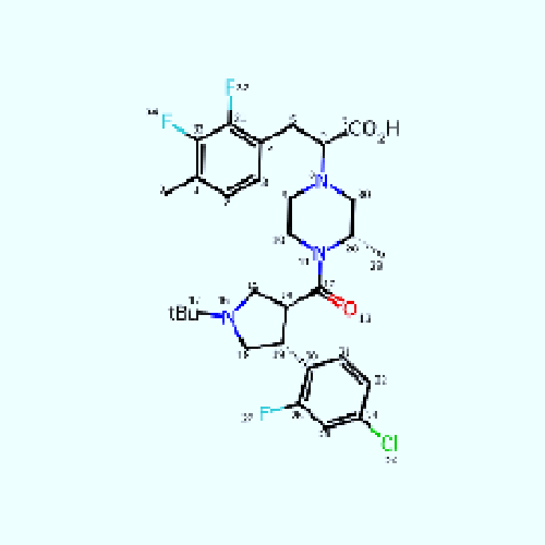 Cc1ccc(C[C@@H](C(=O)O)N2CCN(C(=O)[C@@H]3CN(C(C)(C)C)C[C@H]3c3ccc(Cl)cc3F)[C@@H](C)C2)c(F)c1F